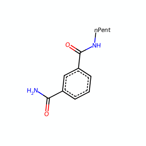 CCCCCNC(=O)c1cccc(C(N)=O)c1